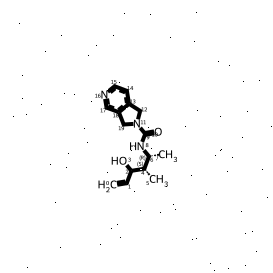 C=CC(O)[C@@H](C)[C@@H](C)NC(=O)N1Cc2ccncc2C1